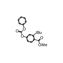 COC(=O)c1ccc(OC(=O)Oc2ccccc2)cc1C(C)(C)C